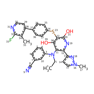 CCN(c1cccc(C#N)c1)c1c(-c2ccn(C)n2)nc(O)c(Sc2ccc(-c3ccnc(F)c3C)cc2)c1O